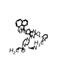 C=CC(=O)N1CCN(c2nc(OC[C@@H]3CCCN3C)nc3c2CN(C(=O)c2cccc4c2C(=C)C=CC=C4)C3)C[C@@H]1CC#N